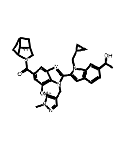 COc1cc(C(=O)N2CC3CC4CC2[C@H]43)cc2nc(-c3cc4ccc(C(C)O)cc4n3CC3CC3)n(Cc3cnn(C)c3)c12